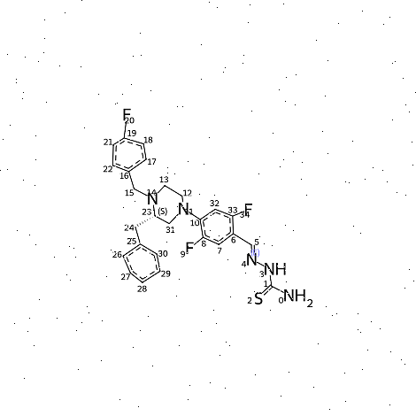 NC(=S)N/N=C/c1cc(F)c(N2CCN(Cc3ccc(F)cc3)[C@@H](Cc3ccccc3)C2)cc1F